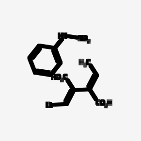 CC=C(C(=O)O)C(=CCC)C(=O)O.O=[N+]([O-])Nc1ccccc1